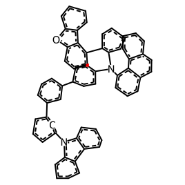 c1cc(-c2ccc(N(c3ccccc3-c3cccc4oc5ccccc5c34)c3cccc4ccc5ccccc5c34)cc2)cc(-c2cccc(-n3c4ccccc4c4ccccc43)c2)c1